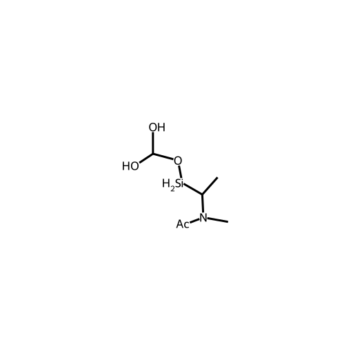 CC(=O)N(C)C(C)[SiH2]OC(O)O